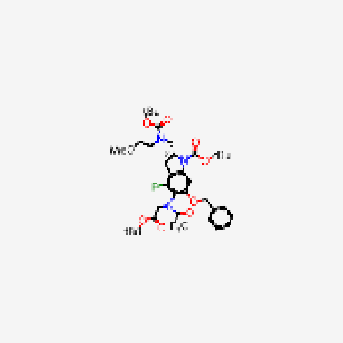 COCCN(C[C@H]1Cc2c(cc(OCc3ccccc3)c(N(CC(=O)OC(C)(C)C)C(=O)C(F)(F)F)c2F)N1C(=O)OC(C)(C)C)C(=O)OC(C)(C)C